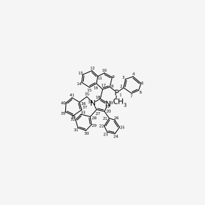 CP(c1ccccc1)c1ccc2ccccc2c1-c1nc(-c2ccccc2)c(-c2ccccc2)n1Cc1ccccc1